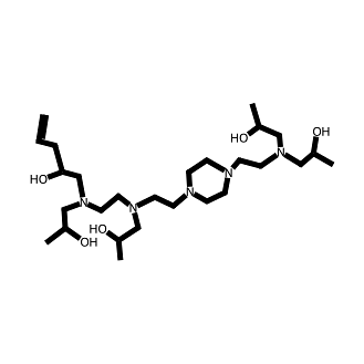 C=CCC(O)CN(CCN(CCN1CCN(CCN(CC(C)O)CC(C)O)CC1)CC(C)O)CC(C)O